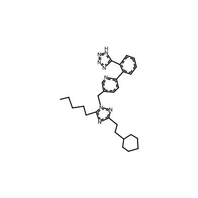 CCCCCc1nc(CCC2CCCCC2)nn1Cc1ccc(-c2ccccc2-c2nnn[nH]2)nc1